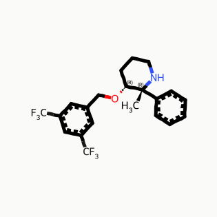 C[C@]1(c2ccccc2)NCCC[C@H]1OCc1cc(C(F)(F)F)cc(C(F)(F)F)c1